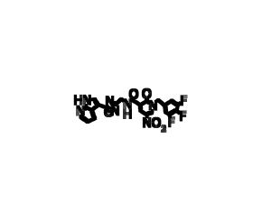 O=C(NCc1noc(-c2c[nH]c3ncccc23)n1)c1cc([N+](=O)[O-])cn(Cc2cc(F)c(F)c(F)c2)c1=O